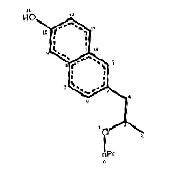 CCCOC(C)Cc1ccc2cc(O)ccc2c1